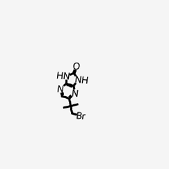 CC(C)(CBr)c1cnc2[nH]c(=O)[nH]c2n1